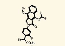 CCC(C(=O)O)c1ccc(N2Cc3c(c(OC(F)F)c4ccccc4c3OC(C)C)C2=O)cc1F